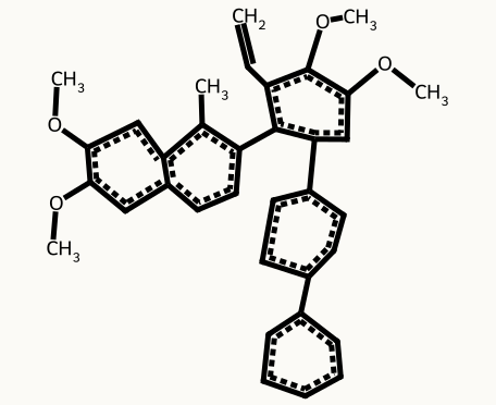 C=Cc1c(OC)c(OC)cc(-c2ccc(-c3ccccc3)cc2)c1-c1ccc2cc(OC)c(OC)cc2c1C